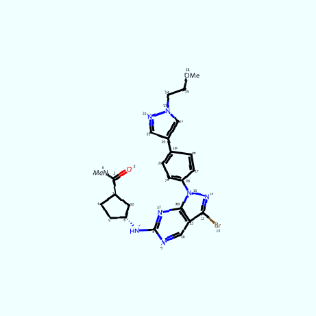 CNC(=O)[C@@H]1CC[C@@H](Nc2ncc3c(Br)nn(-c4ccc(-c5cnn(CCOC)c5)cc4)c3n2)C1